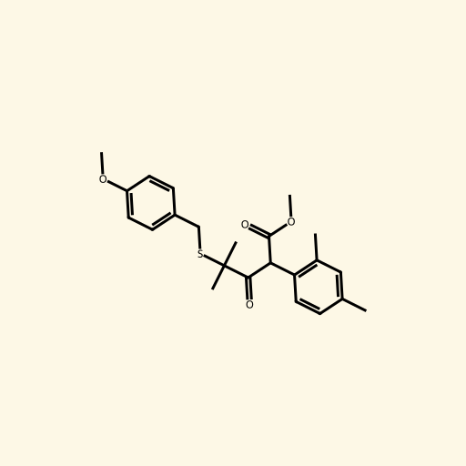 COC(=O)C(C(=O)C(C)(C)SCc1ccc(OC)cc1)c1ccc(C)cc1C